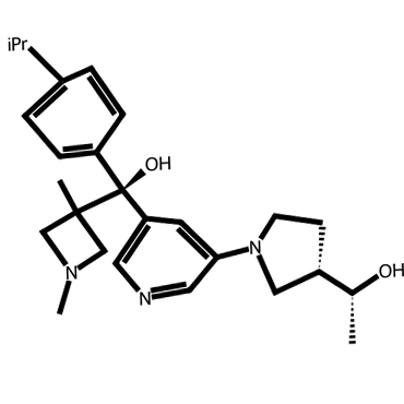 CC(C)c1ccc([C@](O)(c2cncc(N3CC[C@H]([C@@H](C)O)C3)c2)C2(C)CN(C)C2)cc1